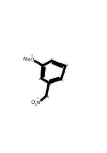 COc1cccc(C[N+](=O)[O-])c1